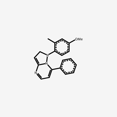 COc1ccc(N2CC=C3N=CC=C(c4ccccc4)N32)c(C)c1